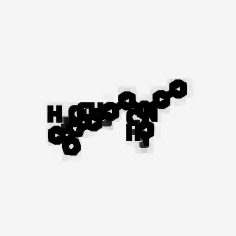 Cc1c(-c2cccc(-c3ccc(-c4ccc5c(c4)C(C)(C)C4=CC6c7ccccc7C7(CCCCC7)C6C=C45)cc3)c2)cc(-c2ccc(-c3ccccc3)cc2)nc1-c1ccccc1